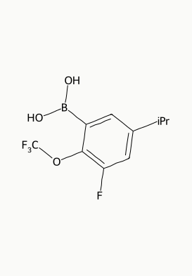 CC(C)c1cc(F)c(OC(F)(F)F)c(B(O)O)c1